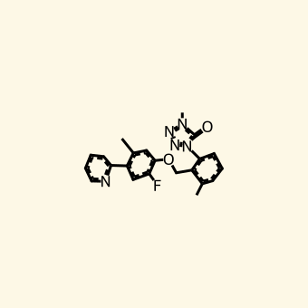 Cc1cc(OCc2c(C)cccc2-n2nnn(C)c2=O)c(F)cc1-c1ccccn1